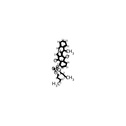 CCCCOP(=O)(OCCCC)Oc1cccc2c1C(=O)c1cn3c(c1C2=O)C(C)c1ccccc1C3